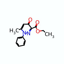 CCOC(=O)c1nn(-c2ccccc2)c(C)cc1=O